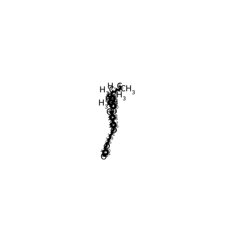 CC(C)CCC[C@@H](C)[C@H]1CC[C@H]2[C@@H]3CC=C4C[C@@H](OC(=O)c5ccc(-c6ccc(OCCCCCCCOCC7CCC8OC8C7)cc6)cc5)CC[C@]4(C)[C@H]3CC[C@]12C